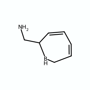 NCC1BCC=CC=C1